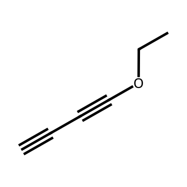 C#CC#COCC